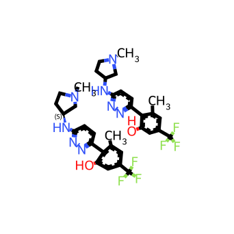 Cc1cc(C(F)(F)F)cc(O)c1-c1ccc(NC2CCN(C)C2)nn1.Cc1cc(C(F)(F)F)cc(O)c1-c1ccc(N[C@H]2CCN(C)C2)nn1